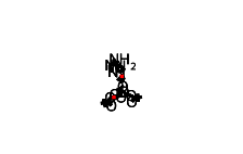 CC(C)(C)C(=O)OCOP(=O)(CO[C@H]1C[C@@H](n2cnc3c(N)ncnc32)C1)OCOC(=O)C(C)(C)C